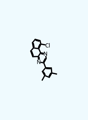 Cc1cc(C)cc(-c2cnc3c(ccc4cccc(Cl)c43)n2)c1